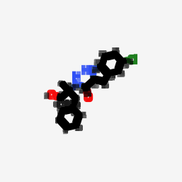 COC(=O)C(C)(Cc1ccccc1)NC(=O)c1cc2cc(Cl)ccc2[nH]1